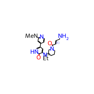 CCN(c1cc(-c2ccnc(NC)c2)c[nH]c1=O)[C@H]1CCCN(C(=O)/C=C/CN)C1